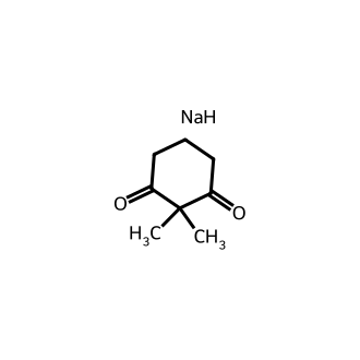 CC1(C)C(=O)CCCC1=O.[NaH]